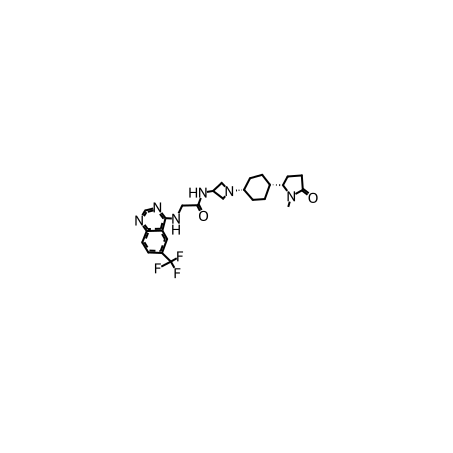 CN1C(=O)CCC1[C@H]1CC[C@@H](N2CC(NC(=O)CNc3ncnc4ccc(C(F)(F)F)cc34)C2)CC1